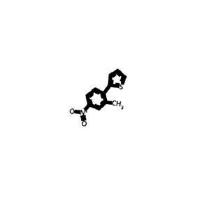 Cc1cc([N+](=O)[O-])ccc1-c1cccs1